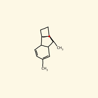 CC1=CC2CC34CCC3(CC4C)C2C=C1